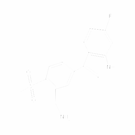 CS(=O)(=O)c1ccc(-c2c[nH]c3cc(F)ccc23)cc1CN